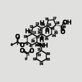 CC(=O)O[C@@H]1[C@@H](OC(C)=O)C[C@@H]2CC[C@H]3[C@@H]4CC[C@H](C(=O)O)[C@@]4(C)CC[C@@H]3[C@@]2(C)[C@H]1NC1CCCCC1